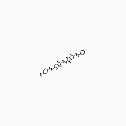 Cc1ccc(N=Nc2cc3sc(N=Nc4nc5sc(N=Nc6ccc(N(C)C)cc6)cc5s4)nc3s2)cc1